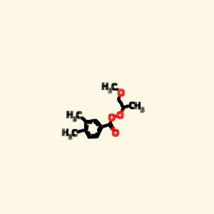 COC[C](C)OOC(=O)c1ccc(C)c(C)c1